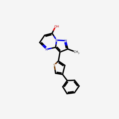 Cc1nn2c(O)ccnc2c1-c1cc(-c2ccccc2)cs1